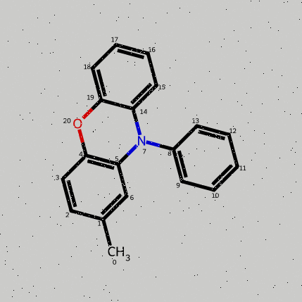 Cc1ccc2c(c1)N(c1ccccc1)c1ccccc1O2